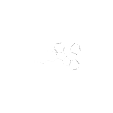 CCCCC(CC)C(O)C(c1ccccc1)(c1ccccc1)c1ccccc1